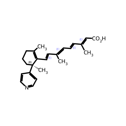 CC1=C(/C=C/C(C)=C/C=C/C(C)=C/C(=O)O)[C@@](C)(c2ccncc2)CCC1